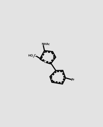 CC(=O)Nc1ccc(-c2cccc(C(C)C)c2)cc1C(=O)O